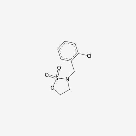 O=S1(=O)OCCN1Cc1ccccc1Cl